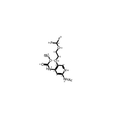 CC(=O)Nc1cc(NC(=O)OC(C)(C)C)c(OCCOC(F)F)cn1